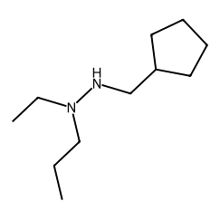 CCCN(CC)NCC1CCCC1